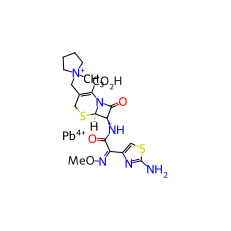 CO/N=C(\C(=O)N[C@@H]1C(=O)N2C(C(=O)O)=C(C[N+]3(C)CCCC3)CS[C@H]12)c1csc(N)n1.[Pb+4]